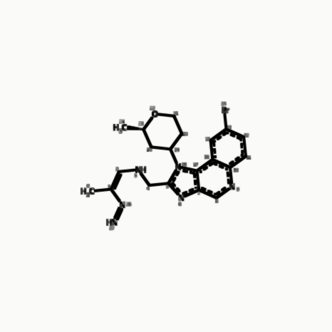 C/C(=C/NCc1nc2cnc3ccc(Br)cc3c2n1C1CCO[C@H](C)C1)N=N